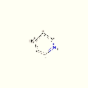 c1c[siH]ccn1